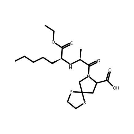 CCCCC[C@H](N[C@@H](C)C(=O)N1CC2(CC1C(=O)O)SCCS2)C(=O)OCC